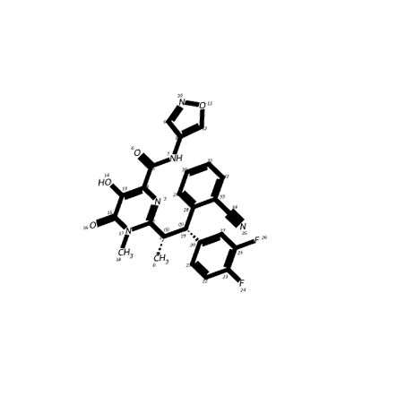 C[C@H](c1nc(C(=O)Nc2cnoc2)c(O)c(=O)n1C)[C@@H](c1ccc(F)c(F)c1)c1ccccc1C#N